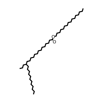 CCCCCCCCCCCCCCCCOC(=O)CCCCCCCCCCCCCC(CCC)CCCCCCCCCCCC